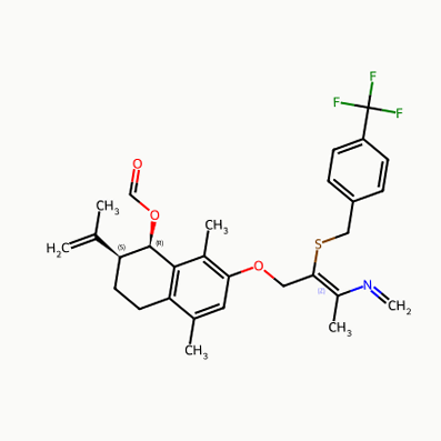 C=N/C(C)=C(/COc1cc(C)c2c(c1C)[C@H](OC=O)[C@H](C(=C)C)CC2)SCc1ccc(C(F)(F)F)cc1